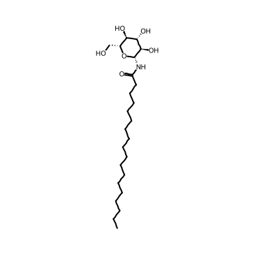 CCCCCCCCCCCCCCCCCC(=O)N[C@@H]1O[C@H](CO)[C@@H](O)[C@H](O)[C@H]1O